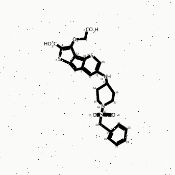 O=C(O)COc1c(C(=O)O)sc2cc3cc(NC4CCN(S(=O)(=O)Cc5ccccc5)CC4)csc-3c12